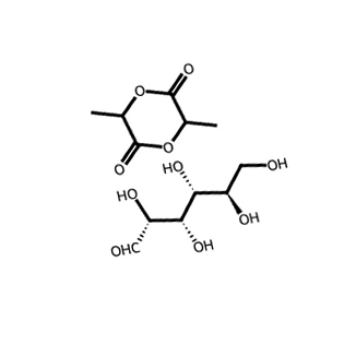 CC1OC(=O)C(C)OC1=O.O=C[C@H](O)[C@@H](O)[C@H](O)[C@H](O)CO